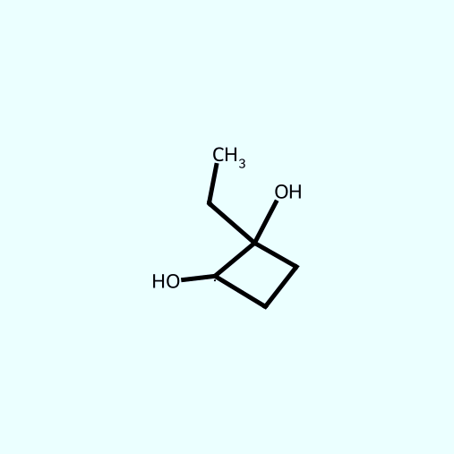 CCC1(O)CC[C]1O